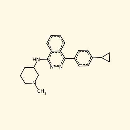 CN1CCCC(Nc2nnc(-c3ccc(C4CC4)cc3)c3ccccc23)C1